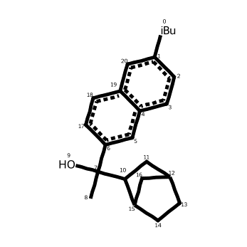 CCC(C)c1ccc2cc(C(C)(O)C3CC4CCC3C4)ccc2c1